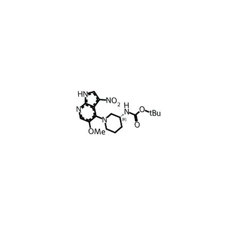 COc1cnc2[nH]cc([N+](=O)[O-])c2c1N1CCC[C@@H](NC(=O)OC(C)(C)C)C1